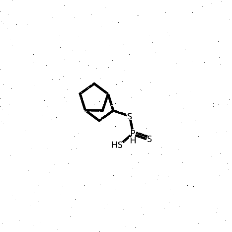 S=[PH](S)SC1CC2CCC1C2